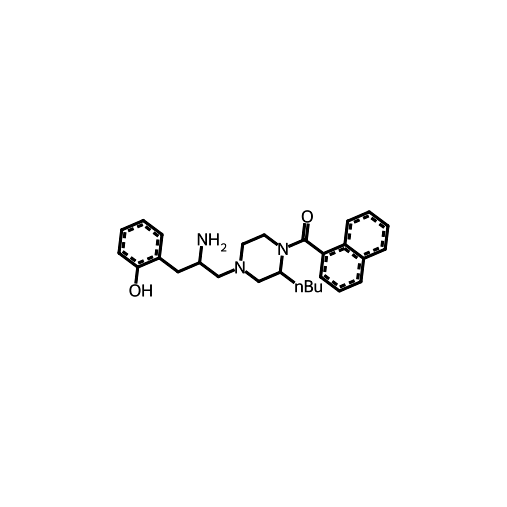 CCCCC1CN(CC(N)Cc2ccccc2O)CCN1C(=O)c1cccc2ccccc12